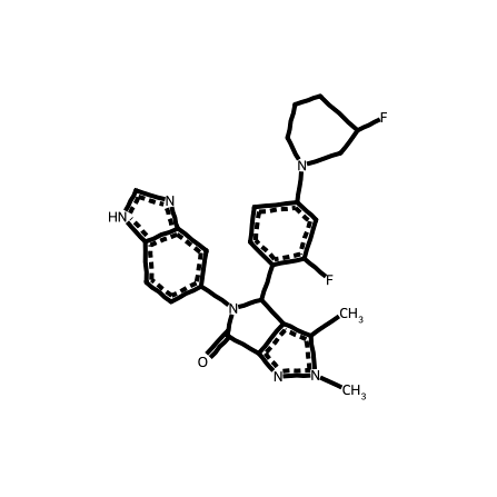 Cc1c2c(nn1C)C(=O)N(c1ccc3[nH]cnc3c1)C2c1ccc(N2CCCC(F)C2)cc1F